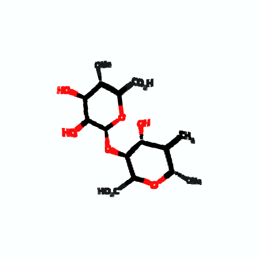 CO[C@@H]1OC(C(=O)O)[C@@H](O[C@@H]2OC(C(=O)O)[C@@H](OC)[C@H](O)C2O)[C@H](O)C1C